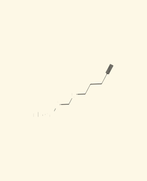 C#CCCCOCOCCCCC